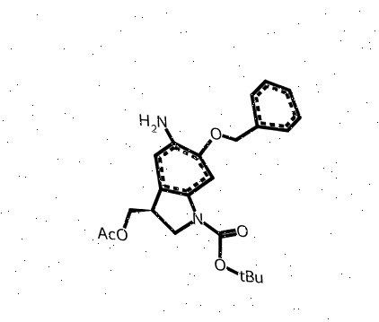 CC(=O)OC[C@@H]1CN(C(=O)OC(C)(C)C)c2cc(OCc3ccccc3)c(N)cc21